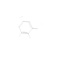 CCO.N.O=C(O)c1cccc(C(=O)O)c1C(=O)O